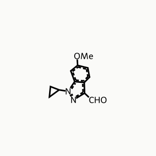 COc1ccc2c(C=O)nn(C3CC3)c2c1